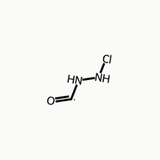 O=[C]NNCl